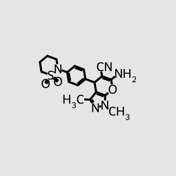 Cc1nn(C)c2c1C(c1ccc(N3CCCCS3(=O)=O)cc1)C(C#N)=C(N)O2